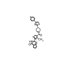 Cc1c(C(=O)N2CCC(c3nc(-c4ccncc4)cs3)CC2)cnn1-c1nn2cccc2c(=O)[nH]1